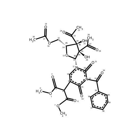 COC(=O)C(C(=O)OC)c1cn([C@@H]2O[C@H](COC(C)=O)[C@](O)(C(C)=O)[C@]2(O)C(C)=O)c(=O)n(C(=O)c2ccccc2)c1=O